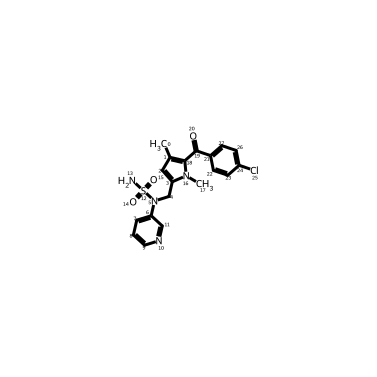 Cc1cc(CN(c2cccnc2)S(N)(=O)=O)n(C)c1C(=O)c1ccc(Cl)cc1